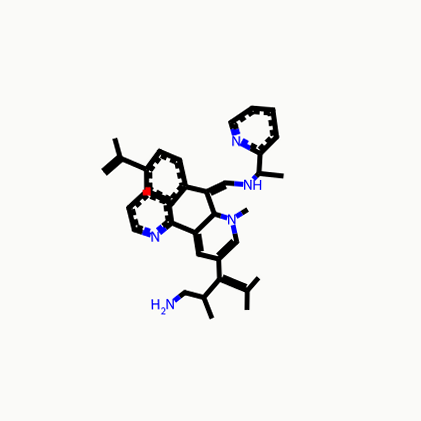 C=C(C)c1ccc(/C(=C/NC(C)c2ccccn2)C2C(c3ccccn3)=CC(C(=C(C)C)C(C)CN)=CN2C)cc1